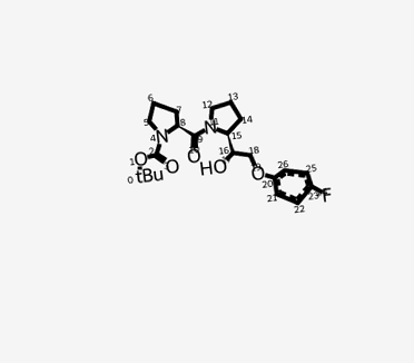 CC(C)(C)OC(=O)N1CCC[C@H]1C(=O)N1CCC[C@H]1C(O)COc1ccc(F)cc1